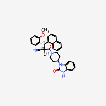 COc1ccccc1[C@H](c1cccc2ccccc12)[C@@](C)(C#N)C(=O)N1CCC(n2c(=O)[nH]c3ccccc32)CC1